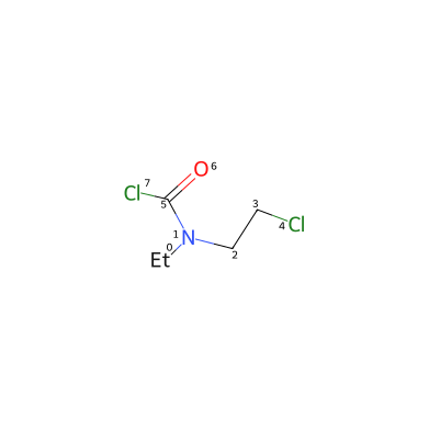 CCN(CCCl)C(=O)Cl